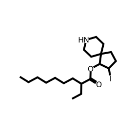 CCCCCCCC(CC)C(=O)OC1C(I)CCC12CCNCC2